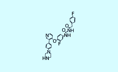 O=C(Cc1ccc(F)cc1)NC(=O)Nc1ccc(Oc2ccncc2-c2ccc(N3CCNCC3)cc2)c(F)c1